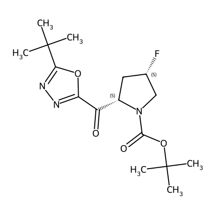 CC(C)(C)OC(=O)N1C[C@@H](F)C[C@H]1C(=O)c1nnc(C(C)(C)C)o1